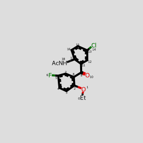 CCOc1ccc(F)cc1C(=O)c1cc(Cl)ccc1NC(C)=O